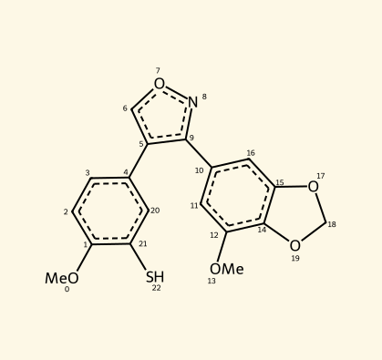 COc1ccc(-c2conc2-c2cc(OC)c3c(c2)OCO3)cc1S